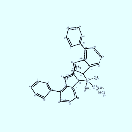 CC1=Cc2c(-c3ccccc3)cccc2[CH]1[Zr]([CH3])([CH3])([SiH3])[CH]1C(C)=Cc2c(-c3ccccc3)cccc21.Cl.Cl